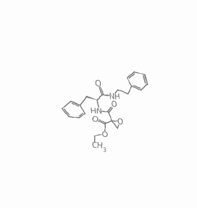 CCOC(=O)C1(C(=O)N[C@@H](Cc2ccccc2)C(=O)NCCc2ccccc2)CO1